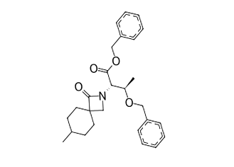 CC1CCC2(CC1)CN([C@H](C(=O)OCc1ccccc1)[C@@H](C)OCc1ccccc1)C2=O